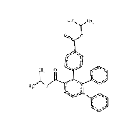 CC(C)OC(=O)c1ccc(-c2c(C(=O)OC(C)C)ccc(-c3ccccc3)c2-c2ccccc2)cc1